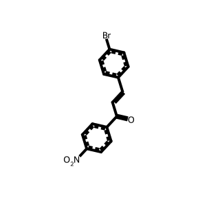 O=C(C=Cc1ccc(Br)cc1)c1ccc([N+](=O)[O-])cc1